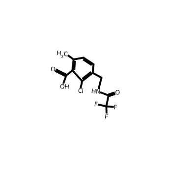 Cc1ccc(CNC(=O)C(F)(F)F)c(Cl)c1C(=O)O